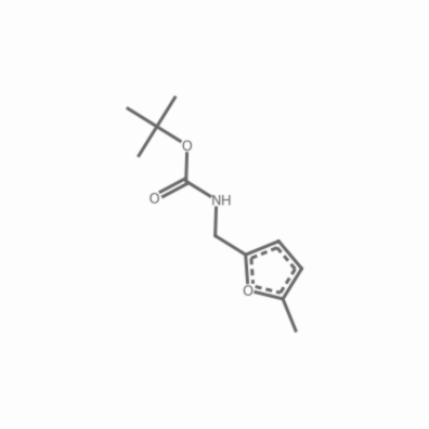 Cc1ccc(CNC(=O)OC(C)(C)C)o1